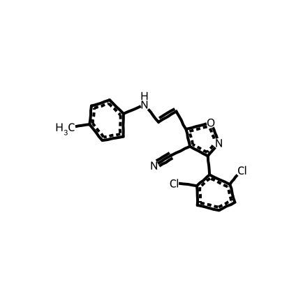 Cc1ccc(NC=Cc2onc(-c3c(Cl)cccc3Cl)c2C#N)cc1